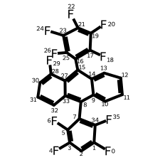 Fc1cc(F)c(F)c(-c2c3ccccc3c(-c3c(F)c(F)c(F)c(F)c3F)c3c(F)cccc23)c1F